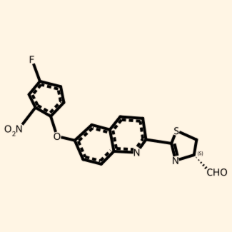 O=C[C@H]1CSC(c2ccc3cc(Oc4ccc(F)cc4[N+](=O)[O-])ccc3n2)=N1